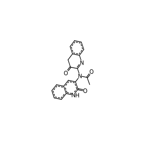 CC(=O)N(C1=Nc2ccccc2CC1=O)c1cc2ccccc2[nH]c1=O